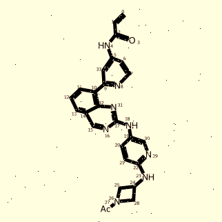 C=CC(=O)Nc1ccnc(-c2cccc3cnc(Nc4ccc(NC5CN(C(C)=O)C5)nc4)nc23)c1